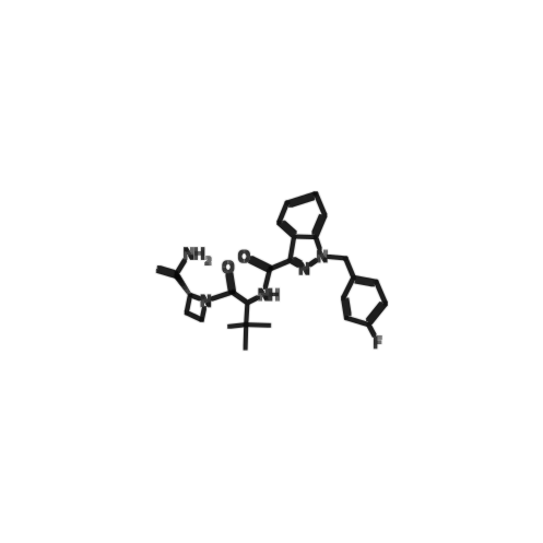 C=C(N)[C@@H]1CCN1C(=O)C(NC(=O)c1nn(Cc2ccc(F)cc2)c2ccccc12)C(C)(C)C